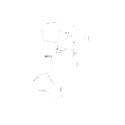 C=CC(C)(C)N(C)[C@@H]1CCCC[C@H]1N(C)C(=O)Cc1cccc2sccc12.Cl